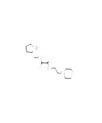 O=C(NCCN1CCOCC1)C(=O)NC[C@H]1CCCN1